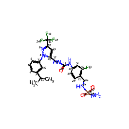 CC(C)c1cccc(-n2nc(C(F)(F)F)cc2CNC(=O)Nc2ccc(CNS(N)(=O)=O)c(F)c2)c1